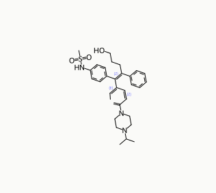 C=C(\C=C/C(=C\C)C(=C(/CCCO)c1ccccc1)/c1ccc(NS(C)(=O)=O)cc1)N1CCN(C(C)C)CC1